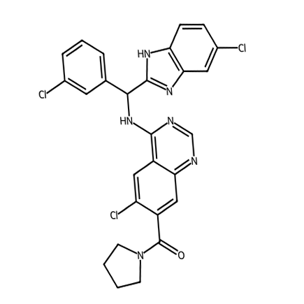 O=C(c1cc2ncnc(NC(c3cccc(Cl)c3)c3nc4cc(Cl)ccc4[nH]3)c2cc1Cl)N1CCCC1